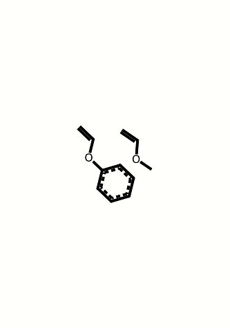 C=COC.C=COc1ccccc1